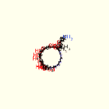 CC1/C=C/C=C/C=C/C=C/C=C/C=C/C=C/C(O)CC(C)(O)C(C(=O)O)C(O)CC(=O)CC(O)CC(O)CC(O)CC(=O)CCCC(=O)CC(=O)OC1C(C)CC(C)C(O)CC(=O)c1ccc(N)cc1